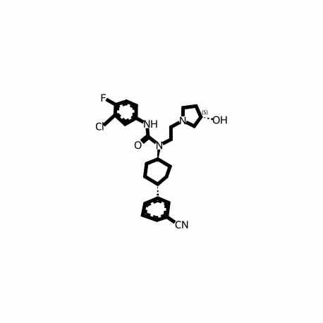 N#Cc1cccc([C@H]2CC[C@H](N(CCN3CC[C@H](O)C3)C(=O)Nc3ccc(F)c(Cl)c3)CC2)c1